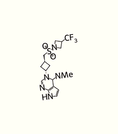 CNC1c2cc[nH]c2N=CN1[C@H]1C[C@H](CS(=O)(=O)N2CC(C(F)(F)F)C2)C1